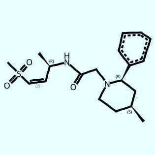 C[C@H]1CCN(CC(=O)N[C@H](C)/C=C\S(C)(=O)=O)[C@@H](c2ccccc2)C1